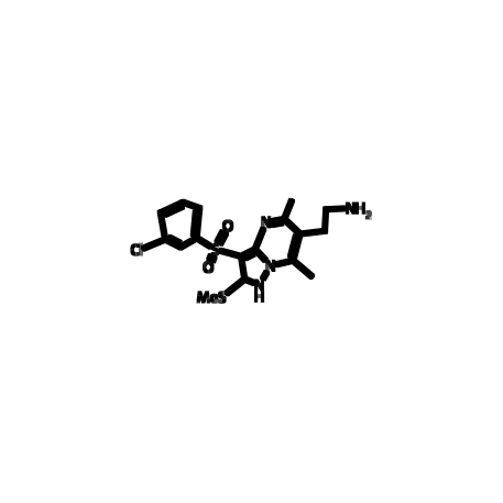 CSC1NN2C(C)=C(CCN)C(C)=NC2=C1S(=O)(=O)c1cccc(Cl)c1